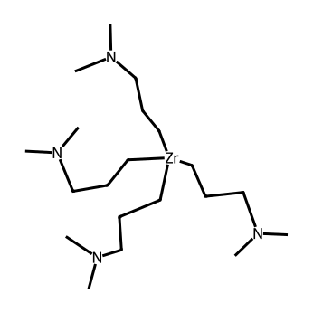 CN(C)CC[CH2][Zr]([CH2]CCN(C)C)([CH2]CCN(C)C)[CH2]CCN(C)C